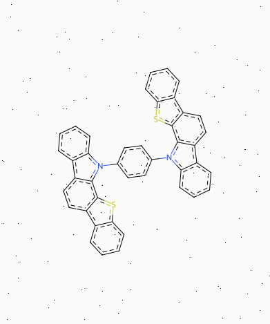 c1ccc2c(c1)sc1c2ccc2c3ccccc3n(-c3ccc(-n4c5ccccc5c5ccc6c7ccccc7sc6c54)cc3)c21